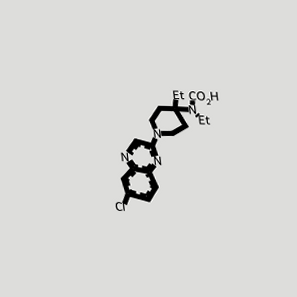 CCN(C(=O)O)C1(CC)CCN(c2cnc3cc(Cl)ccc3n2)CC1